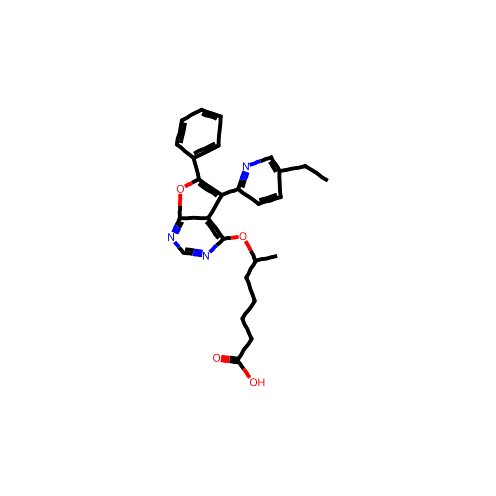 CCc1ccc(-c2c(-c3ccccc3)oc3ncnc(OC(C)CCCCC(=O)O)c23)nc1